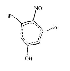 CC(C)c1cc(O)cc(C(C)C)c1N=O